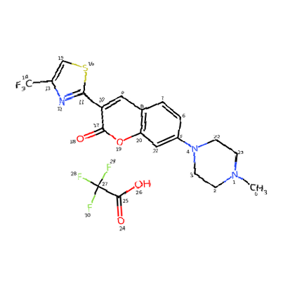 CN1CCN(c2ccc3cc(-c4nc(C(F)(F)F)cs4)c(=O)oc3c2)CC1.O=C(O)C(F)(F)F